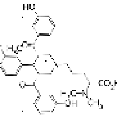 Cc1c(F)cccc1[C@@H]1[C@@H](C(=O)c2cccc(O)c2)CN(CCC[C@H](C(=O)O)N(C)C)C[C@H]1C(=O)c1cccc(O)c1